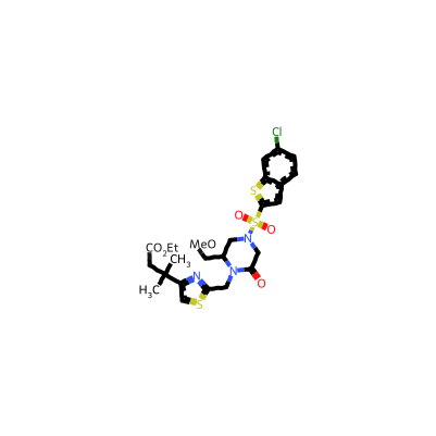 CCOC(=O)CC(C)(C)c1csc(CN2C(=O)CN(S(=O)(=O)c3cc4ccc(Cl)cc4s3)CC2COC)n1